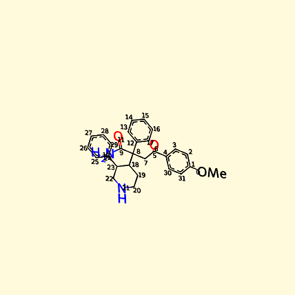 COc1ccc(C(=O)CC(C(N)=O)(c2ccccc2)C2CCNCC2c2ccccc2)cc1